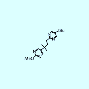 COc1ncc(C(C)(C)CCc2ncc(C(C)(C)C)cn2)cn1